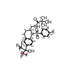 CC(C)(O)C(=O)NC[C@@H]1CCc2cc(C(O)(C(F)(F)F)C(F)(F)F)ccc2N1S(=O)(=O)c1ccc(F)cc1